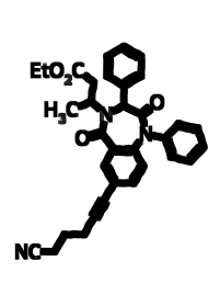 CCOC(=O)CC(C)N1C(=O)c2cc(C#CCCCC#N)ccc2N(c2ccccc2)C(=O)C1c1ccccc1